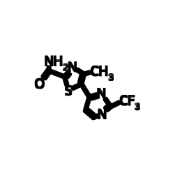 Cc1nc(C(N)=O)sc1-c1ccnc(C(F)(F)F)n1